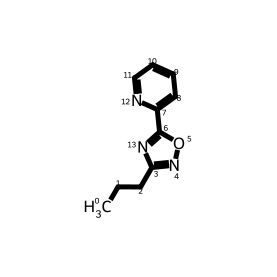 CCCc1noc(-c2ccccn2)n1